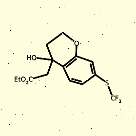 CCOC(=O)CC1(O)CCOc2cc(SC(F)(F)F)ccc21